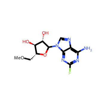 COC[C@H]1OC(n2cnc3c(N)nc(F)nc32)[C@@H](O)[C@@H]1O